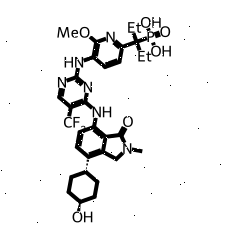 CCC(CC)(c1ccc(Nc2ncc(C(F)(F)F)c(Nc3ccc([C@H]4CC[C@H](O)CC4)c4c3C(=O)N(C)C4)n2)c(OC)n1)P(=O)(O)O